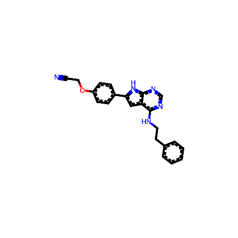 N#CCOc1ccc(-c2cc3c(NCCc4ccccc4)ncnc3[nH]2)cc1